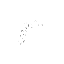 O=C(Nc1ccc(C(F)(F)F)cn1)Nc1ccc(C2CNCCO2)cc1Cl